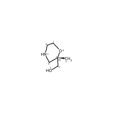 C[C@@]1(CO)CNCCO1